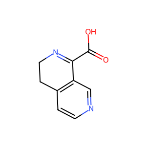 O=C(O)C1=NCCc2ccncc21